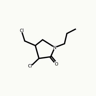 CCCN1CC(CCl)C(Cl)C1=O